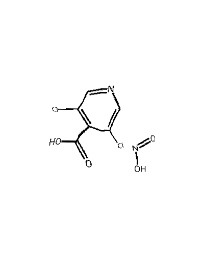 O=C(O)c1c(Cl)cncc1Cl.O=NO